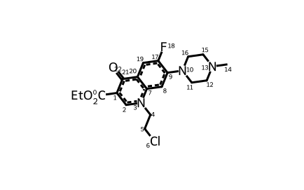 CCOC(=O)c1cn(CCCl)c2cc(N3CCN(C)CC3)c(F)cc2c1=O